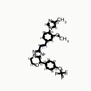 COc1cc(/C=C/c2nc3n(n2)CCOC3c2ccc(OC(F)(F)F)cc2)ccc1-n1cnc(C)c1